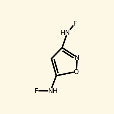 FNc1cc(NF)on1